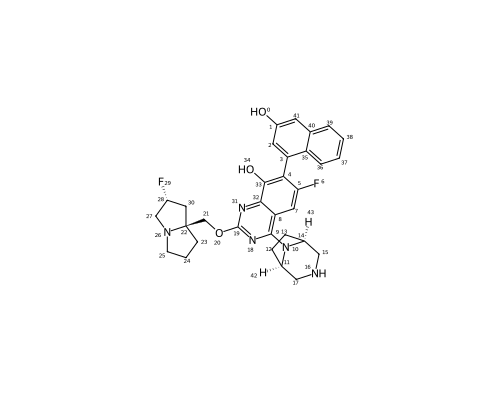 Oc1cc(-c2c(F)cc3c(N4[C@@H]5CC[C@H]4CNC5)nc(OC[C@@]45CCCN4C[C@H](F)C5)nc3c2O)c2ccccc2c1